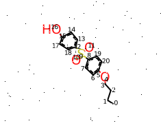 CCCCOc1ccc(S(=O)(=O)c2ccc(O)cc2)cc1